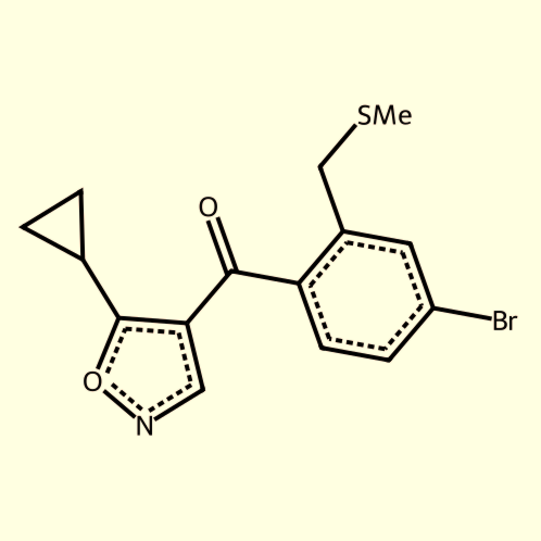 CSCc1cc(Br)ccc1C(=O)c1cnoc1C1CC1